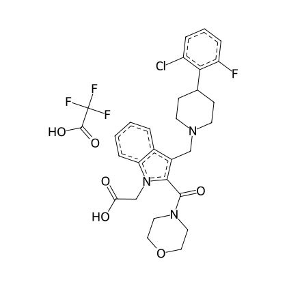 O=C(O)C(F)(F)F.O=C(O)Cn1c(C(=O)N2CCOCC2)c(CN2CCC(c3c(F)cccc3Cl)CC2)c2ccccc21